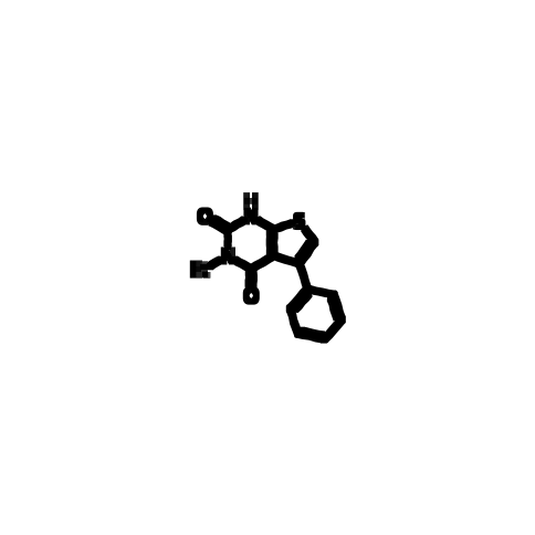 CCn1c(=O)[nH]c2scc(-c3ccccc3)c2c1=O